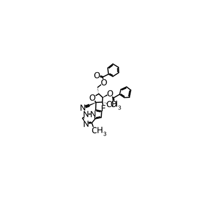 Cc1ncnn2c([C@]3(C#N)O[C@H](COC(=O)c4ccccc4)[C@@H](OC(=O)c4ccccc4)[C@@]3(C)F)ccc12